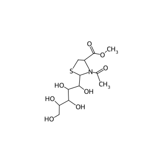 COC(=O)C1CSC(C(O)C(O)C(O)C(O)CO)N1C(C)=O